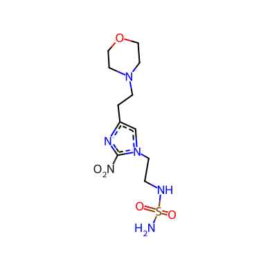 NS(=O)(=O)NCCn1cc(CCN2CCOCC2)nc1[N+](=O)[O-]